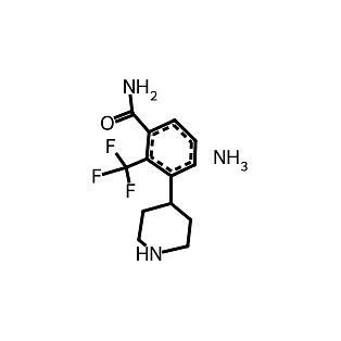 N.NC(=O)c1cccc(C2CCNCC2)c1C(F)(F)F